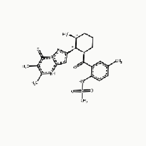 Cc1ccc(NS(C)(=O)=O)c(C(=O)N2CCC[C@H](C)[C@@H]2c2cc3[nH]c(C)c(C)c(=O)n3n2)c1